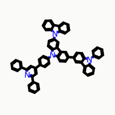 c1ccc(-c2cc(-c3ccc(-n4c5ccc(-c6ccc7c(c6)c6ccccc6n7-c6ccccc6)cc5c5cc(-n6c7ccccc7c7ccccc76)ccc54)cc3)cc(-c3ccccc3)n2)cc1